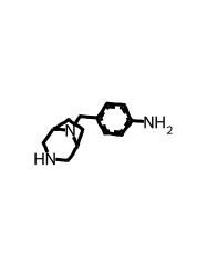 Nc1ccc(CN2C3CCC2CNC3)cc1